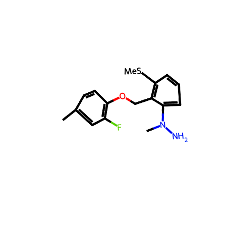 CSc1cccc(N(C)N)c1COc1ccc(C)cc1F